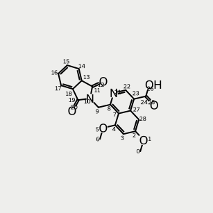 COc1cc(OC)c2c(CN3C(=O)c4ccccc4C3=O)ncc(C(=O)O)c2c1